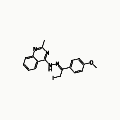 COc1ccc(C(CI)=NNc2nc(C)nc3ccccc23)cc1